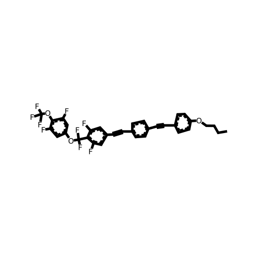 CCCCOc1ccc(C#Cc2ccc(C#Cc3cc(F)c(C(F)(F)Oc4cc(F)c(OC(F)(F)F)c(F)c4)c(F)c3)cc2)cc1